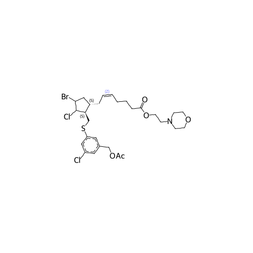 CC(=O)OCc1cc(Cl)cc(SC[C@H]2C(Cl)C(Br)C[C@@H]2C/C=C\CCCC(=O)OCCN2CCOCC2)c1